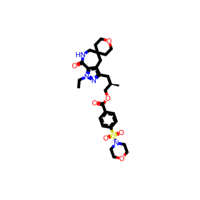 CCn1nc(C[C@@H](C)COC(=O)c2ccc(S(=O)(=O)N3CCOCC3)cc2)c2c1C(=O)NCC1(CCOCC1)C2